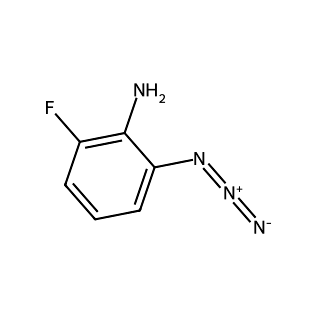 [N-]=[N+]=Nc1cccc(F)c1N